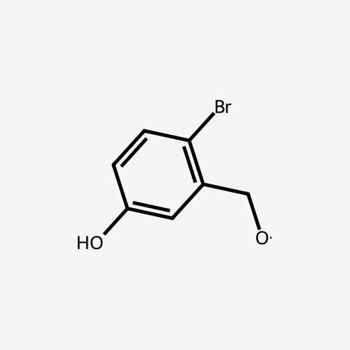 [O]Cc1cc(O)ccc1Br